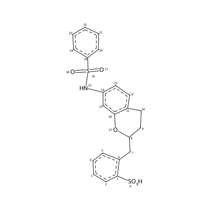 O=S(=O)(O)c1ccccc1CC1CCc2ccc(NS(=O)(=O)c3ccccc3)cc2O1